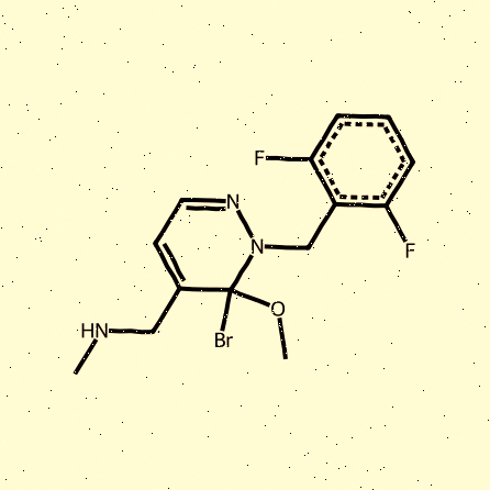 CN[CH]C1=CC=NN(Cc2c(F)cccc2F)C1(Br)OC